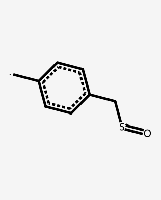 [CH2]c1ccc(C[S+]=O)cc1